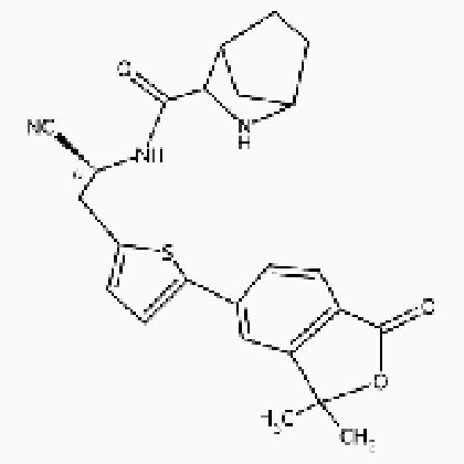 CC1(C)OC(=O)c2ccc(-c3ccc(C[C@@H](C#N)NC(=O)C4NC5CCC4C5)s3)cc21